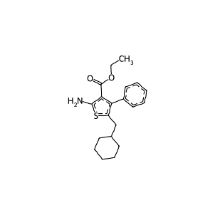 CCOC(=O)c1c(N)sc(CC2CCCCC2)c1-c1ccccc1